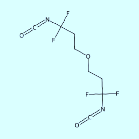 O=C=NC(F)(F)CCOCCC(F)(F)N=C=O